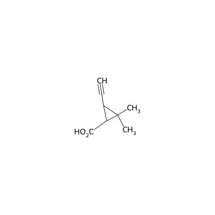 C#CC1C(C(=O)O)C1(C)C